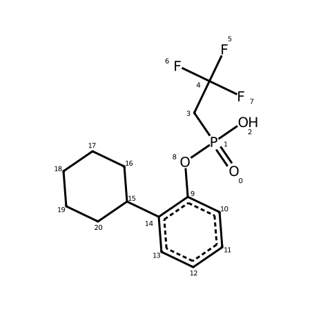 O=P(O)(CC(F)(F)F)Oc1ccccc1C1CCCCC1